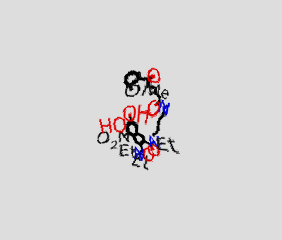 CCN(CC)C(=O)c1cc2c([N+](=O)[O-])c(O)c(O)cc2cc1C(=O)N(CC)CCCCN(C)C(=O)CCCCC(=O)c1ccccc1OC